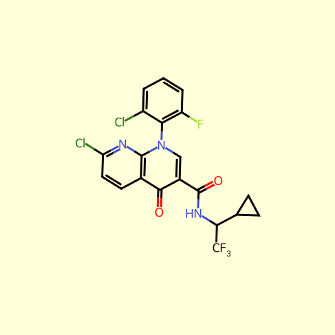 O=C(NC(C1CC1)C(F)(F)F)c1cn(-c2c(F)cccc2Cl)c2nc(Cl)ccc2c1=O